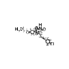 CCCCOc1ccc(S(=O)(=O)C2(CCCC#Cc3ccc(Cl)cc3)SC(=O)NC2=O)cc1